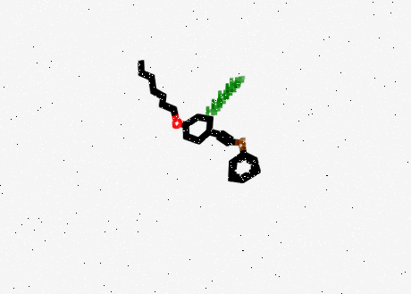 CCCCCCCOC1CCC(C#CSc2ccccc2)CC1.F.F.F.F.F